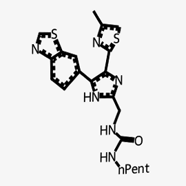 CCCCCNC(=O)NCc1nc(-c2nc(C)cs2)c(-c2ccc3ncsc3c2)[nH]1